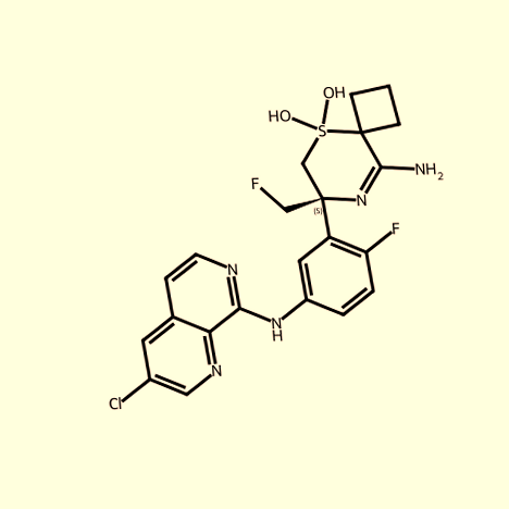 NC1=N[C@](CF)(c2cc(Nc3nccc4cc(Cl)cnc34)ccc2F)CS(O)(O)C12CCC2